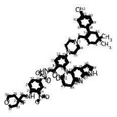 CC1(C)CCC(CN2CCN(c3ccc(C(=O)NS(=O)(=O)c4ccc(NCC5(F)CCOCC5)c([N+](=O)[O-])c4)c(N4C(=O)CCc5nc6[nH]ccc6cc54)c3)CC2)=C(c2ccc(Cl)cc2)C1